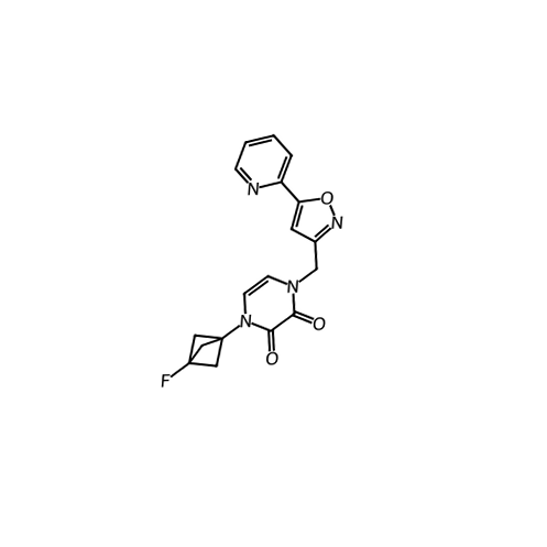 O=c1c(=O)n(C23CC(F)(C2)C3)ccn1Cc1cc(-c2ccccn2)on1